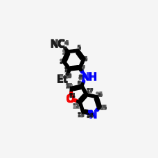 CCc1cc(C#N)ccc1Nc1coc2cnccc12